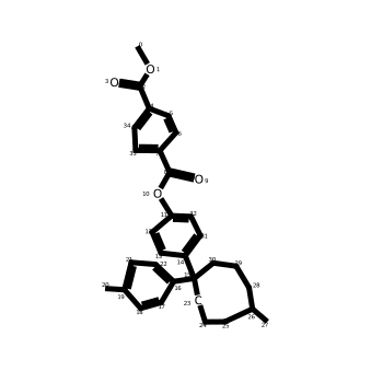 COC(=O)c1ccc(C(=O)Oc2ccc(C3(c4ccc(C)cc4)CCCC(C)CCC3)cc2)cc1